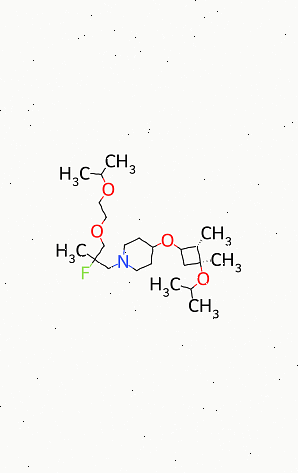 CC(C)OCCOCC(C)(F)CN1CCC(OC2C[C@](C)(OC(C)C)[C@H]2C)CC1